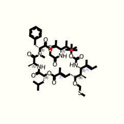 C/C=C(\C)[C@@H](NC(=O)OC(C)(C)C)[C@@H](C)[C@@H](C/C=C(\C)C(=O)O[C@H](CC(C)C)C(=O)N[C@@H](C)C(=O)N(C)[C@H](Cc1ccccc1)C(=O)N(C)CC(=O)N[C@H](C(C)=O)C(C)CC)OCSC